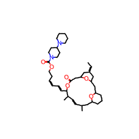 C/C=C1\CC2CC(=O)OC(/C=C/C=C\CCOC(=O)N3CCC(N4CCCCC4)CC3)C(C)/C=C/C(C)CC3CCCC(CC(C1)O2)O3